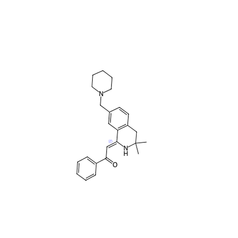 CC1(C)Cc2ccc(CN3CCCCC3)cc2/C(=C/C(=O)c2ccccc2)N1